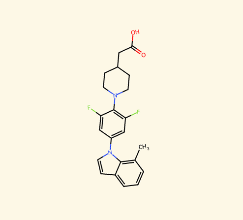 Cc1cccc2ccn(-c3cc(F)c(N4CCC(CC(=O)O)CC4)c(F)c3)c12